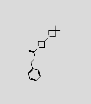 CC1(O)CN(C2CN(C(=O)OCc3ccccc3)C2)C1